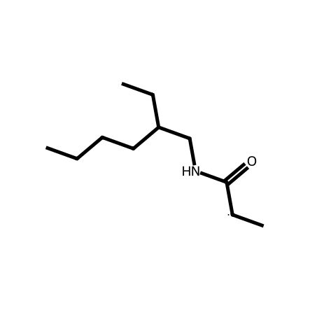 C[CH]C(=O)NCC(CC)CCCC